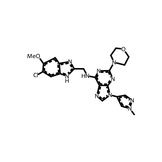 COc1cc2nc(CNc3nc(N4CCOCC4)nc4c3ncn4-c3cnn(C)c3)[nH]c2cc1Cl